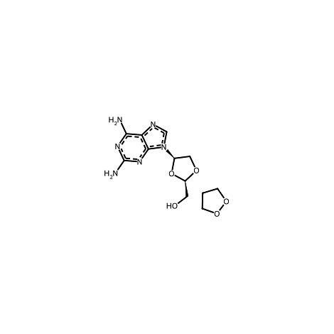 C1COOC1.Nc1nc(N)c2ncn([C@H]3CO[C@@H](CO)O3)c2n1